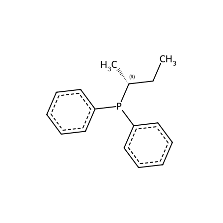 CC[C@@H](C)P(c1ccccc1)c1ccccc1